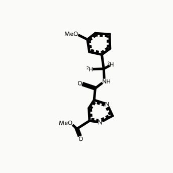 [2H]C([2H])(NC(=O)c1cc(C(=O)OC)ncn1)c1cccc(OC)c1